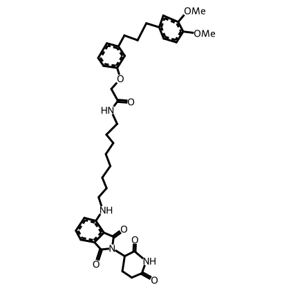 COc1ccc(CCCc2cccc(OCC(=O)NCCCCCCCCNc3cccc4c3C(=O)N(C3CCC(=O)NC3=O)C4=O)c2)cc1OC